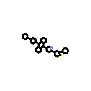 c1ccc(-c2ccc(-c3c4ccccc4c(-c4ccc(-c5ccc6sc7ccccc7c6c5)nc4)c4ccccc34)cc2)cc1